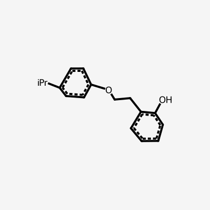 CC(C)c1ccc(OCCc2ccccc2O)cc1